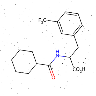 O=C(NC(Cc1cccc(C(F)(F)F)c1)C(=O)O)C1CCCCC1